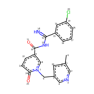 Cc1cncc(Cn2cc(C(=O)NC(=N)c3cccc(Cl)c3)ccc2=O)c1